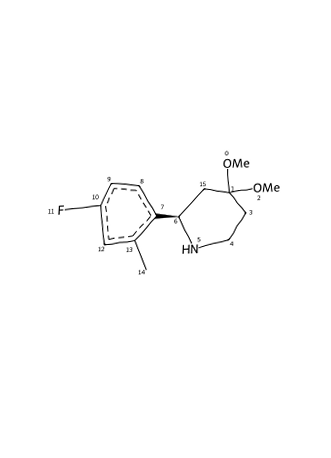 COC1(OC)CCN[C@@H](c2ccc(F)cc2C)C1